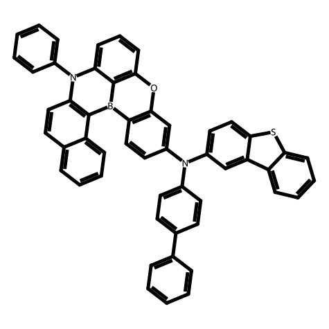 c1ccc(-c2ccc(N(c3ccc4c(c3)Oc3cccc5c3B4c3c(ccc4ccccc34)N5c3ccccc3)c3ccc4sc5ccccc5c4c3)cc2)cc1